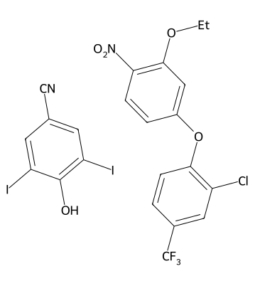 CCOc1cc(Oc2ccc(C(F)(F)F)cc2Cl)ccc1[N+](=O)[O-].N#Cc1cc(I)c(O)c(I)c1